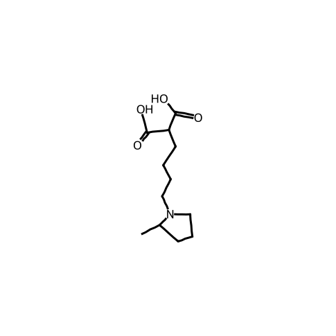 CC1CCCN1CCCCC(C(=O)O)C(=O)O